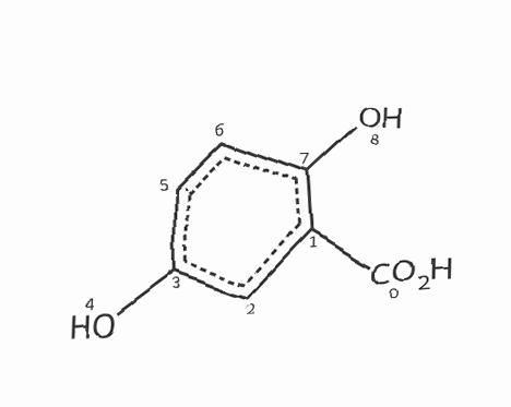 O=C(O)c1cc(O)[c]cc1O